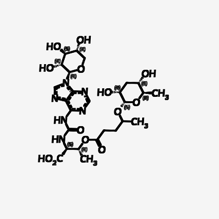 CC(CCC(=O)O[C@H](C)[C@H](NC(=O)Nc1ncnc2c1ncn2[C@@H]1OC[C@@H](O)[C@H](O)[C@H]1O)C(=O)O)O[C@H]1O[C@H](C)[C@@H](O)C[C@H]1O